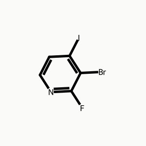 Fc1nccc(I)c1Br